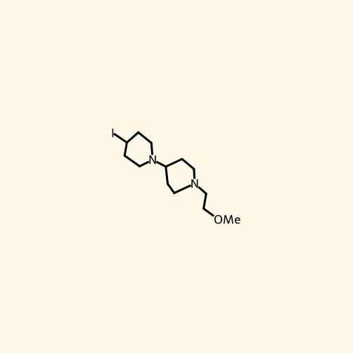 COCCN1CCC(N2CCC(I)CC2)CC1